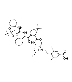 CC1(C)C2CN(C(=O)[C@@H](NC(=O)NC3(CS(=O)(=O)C(C)(C)C)CCCCC3)C3CCCCC3)[C@H](C(=O)N[C@@H](CC(F)F)C(=O)NCCc3c(F)cc(C(=O)O)cc3F)C21